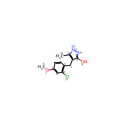 COc1ccc(Cc2c(O)n[nH]c2C)c(Cl)c1